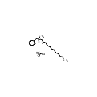 CCCCCCCCCCCC[N+](C)(C)Cc1ccccc1.OO.[Cl-]